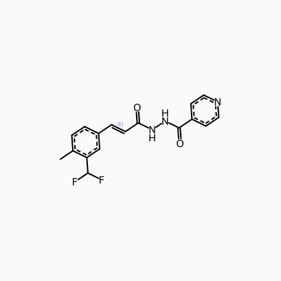 Cc1ccc(/C=C/C(=O)NNC(=O)c2ccncc2)cc1C(F)F